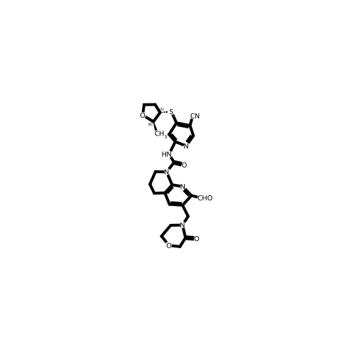 C[C@H]1OCC[C@@H]1Sc1cc(NC(=O)N2CCCc3cc(CN4CCOCC4=O)c(C=O)nc32)ncc1C#N